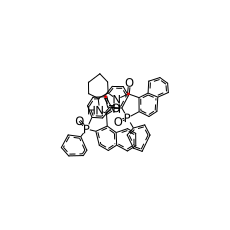 O=C(NC1CCCCC1NC(=O)c1c(P(=O)(c2ccccc2)c2ccccc2)ccc2ccccc12)c1c(P(=O)(c2ccccc2)c2ccccc2)ccc2ccccc12